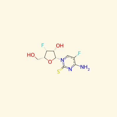 Nc1nc(=S)n([C@@H]2O[C@H](CO)[C@H](F)[C@@H]2O)cc1F